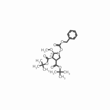 CO[C@@H]1[C@H](C(=O)OC(C)(C)C)C(C(=O)OC(C)(C)C)CN1OC(=O)OCc1ccccc1